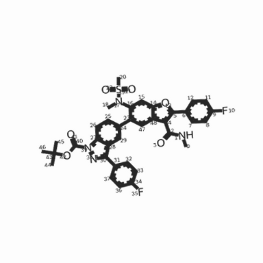 CNC(=O)c1c(-c2ccc(F)cc2)oc2cc(N(C)S(C)(=O)=O)c(-c3ccc4c(c3)c(-c3ccc(F)cc3)nn4C(=O)OC(C)(C)C)cc12